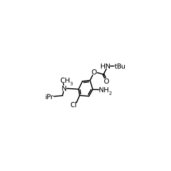 CC(C)CN(C)c1cc(OC(=O)NC(C)(C)C)c(N)cc1Cl